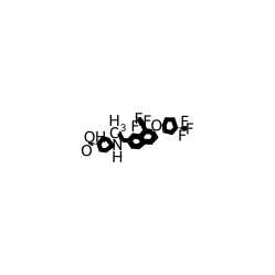 CCC(N[C@H]1CC[C@@H](C(=O)O)CC1)c1ccc2ccc(O[C@H]3CC[C@@H](C(F)(F)F)CC3)c(C(F)(F)F)c2c1